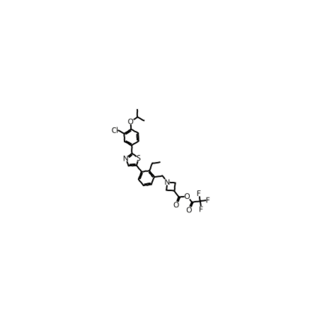 CCc1c(CN2CC(C(=O)OC(=O)C(F)(F)F)C2)cccc1-c1cnc(-c2ccc(OC(C)C)c(Cl)c2)s1